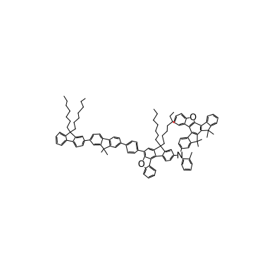 CCCCCCCC1(CCCCCCC)c2ccccc2-c2ccc(-c3ccc4c(c3)C(C)(C)c3cc(-c5ccc(-c6cc7c(c8c6oc6ccccc68)-c6ccc(N(c8ccc9c(c8)C(C)(C)c8c%10c(c%11oc%12ccccc%12c%11c8-9)-c8ccccc8C%10(C)C)c8ccccc8C)cc6C7(CCCCCCC)CCCCCCC)cc5)ccc3-4)cc21